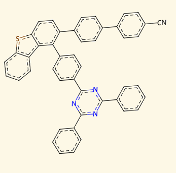 N#Cc1ccc(-c2ccc(-c3ccc4sc5ccccc5c4c3-c3ccc(-c4nc(-c5ccccc5)nc(-c5ccccc5)n4)cc3)cc2)cc1